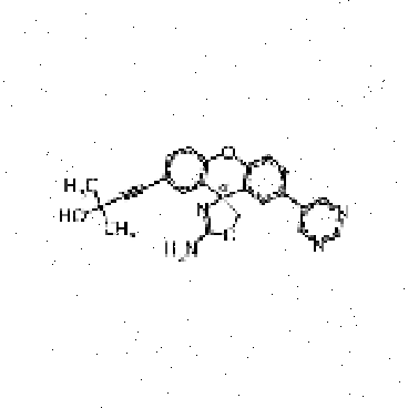 CC(C)(O)C#Cc1ccc2c(c1)[C@@]1(COC(N)=N1)c1cc(-c3cncnc3)ccc1O2